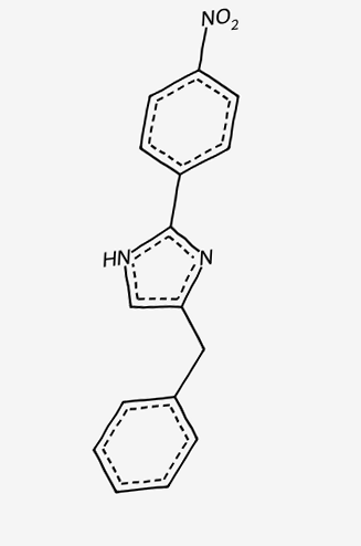 O=[N+]([O-])c1ccc(-c2nc(Cc3ccccc3)c[nH]2)cc1